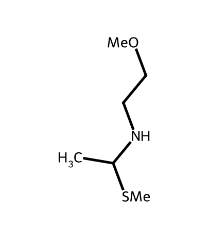 COCCNC(C)SC